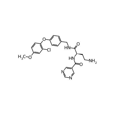 COc1ccc(Oc2ccc(CNC(=O)[C@@H](CCN)NC(=O)c3cncnc3)cc2)c(Cl)c1